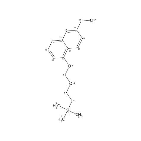 C[Si](C)(C)CCOCOc1cccc2cc(CCl)ccc12